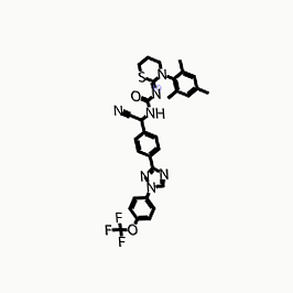 Cc1cc(C)c(N2CCCS/C2=N\C(=O)NC(C#N)c2ccc(-c3ncn(-c4ccc(OC(F)(F)F)cc4)n3)cc2)c(C)c1